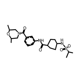 CC1CN(C(=O)c2cccc(NC(=O)C3CCC(NS(=O)(=O)C(C)C)CC3)c2)CC(C)O1